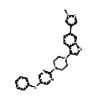 Cn1cc(-c2ccc3c(N4CCN(c5ncc(Sc6ccccc6)cn5)CC4)cnn3c2)cn1